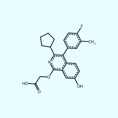 Cc1cc(-c2c(C3CCCC3)nc(OCC(=O)O)c3cc(O)ccc23)ccc1F